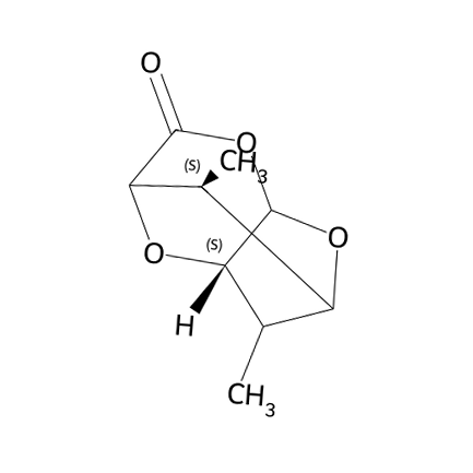 CC1C2OC3OC(=O)C(O[C@H]31)[C@H]2C